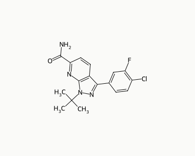 CC(C)(C)n1nc(-c2ccc(Cl)c(F)c2)c2ccc(C(N)=O)nc21